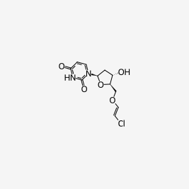 O=c1ccn([C@H]2C[C@H](O)[C@@H](COC=CCl)O2)c(=O)[nH]1